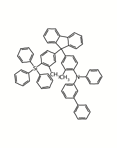 Cc1cc(C2(c3ccc([Si](c4ccccc4)(c4ccccc4)c4ccccc4)c(C)c3)c3ccccc3-c3ccccc32)ccc1N(c1ccccc1)c1cccc(-c2ccccc2)c1